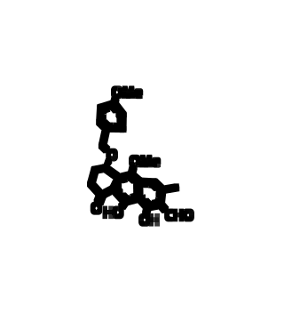 COc1ccc(CO[C@@H]2CCC(=O)c3c2c(OC)c2cc(C)c(C=O)c(O)c2c3O)cc1